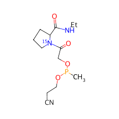 CCNC(=O)C1CCC[15N]1C(=O)COP(C)OCCC#N